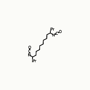 CC(C)C(CCCCCCCCC(N=C=O)C(C)C)N=C=O